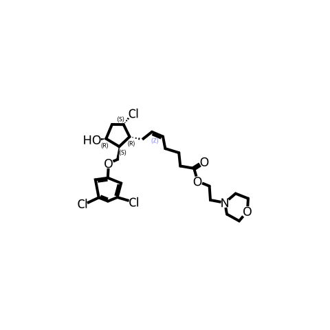 O=C(CCC/C=C\C[C@@H]1[C@@H](COc2cc(Cl)cc(Cl)c2)[C@H](O)C[C@@H]1Cl)OCCN1CCOCC1